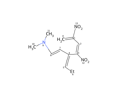 C=C(\C=C(C(=C\CC)/C=C/N(C)C)\[N+](=O)[O-])[N+](=O)[O-]